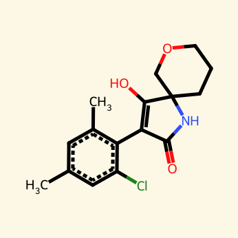 Cc1cc(C)c(C2=C(O)C3(CCCOC3)NC2=O)c(Cl)c1